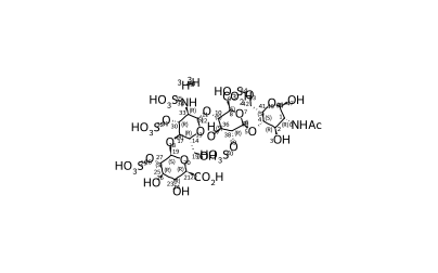 CC(=O)N[C@@H]1[C@@H](O)[C@H](O[C@@H]2O[C@H](C(=O)O)[C@@H](O[C@@H]3O[C@H](CO)[C@@H](O[C@H]4O[C@@H](C(=O)O)[C@H](O)[C@@H](O)[C@@H]4OS(=O)(=O)O)[C@H](OS(=O)(=O)O)[C@H]3NS(=O)(=O)O)[C@H](O)[C@H]2OS(=O)(=O)O)[C@H](COS(=O)(=O)O)O[C@H]1O.[3H][3H]